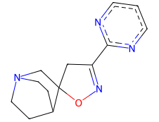 c1cnc(C2=NOC3(C2)CN2CCC3CC2)nc1